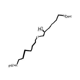 CCCCCCCCCCCCCCCCOCC(O)CCCCCCCCCCCCCC